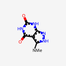 CNc1[nH]nc2[nH]c(=O)[nH]c(=O)c12